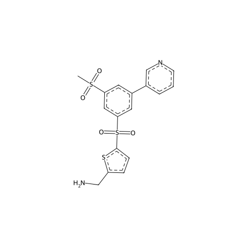 CS(=O)(=O)c1cc(-c2cccnc2)cc(S(=O)(=O)c2ccc(CN)s2)c1